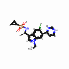 C[C@@H](NS(=O)(=O)C1CC1)c1cn(CC(C)(C)C)c2cc(-c3ccncn3)c(F)cc12